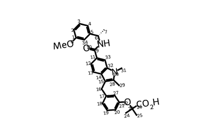 COc1cccc([C@H](C)NC(=O)c2ccc3c(Cc4cccc(OC(C)(C)C(=O)O)c4)c(C)n(C)c3c2)c1